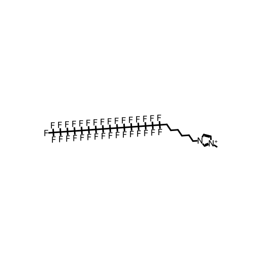 C[n+]1ccn(CCCCCCC(F)(F)C(F)(F)C(F)(F)C(F)(F)C(F)(F)C(F)(F)C(F)(F)C(F)(F)C(F)(F)C(F)(F)C(F)(F)C(F)(F)C(F)(F)C(F)(F)C(F)(F)C(F)(F)F)c1